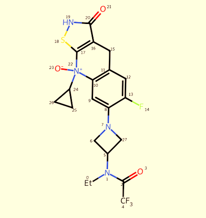 CCN(C(=O)C(F)(F)F)C1CN(c2cc3c(cc2F)Cc2c(s[nH]c2=O)[N+]3([O-])C2CC2)C1